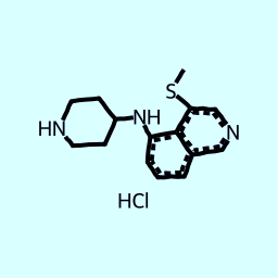 CSc1cncc2cccc(NC3CCNCC3)c12.Cl